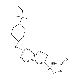 CCC(C)(C)C1CCC(Oc2ccc3cc(C4(C)COC(=O)N4)ccc3c2)CC1